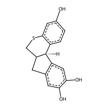 Oc1ccc2c(c1)SCC1Cc3cc(O)c(O)cc3[C@H]21